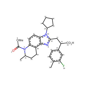 COC(=O)N1c2ccc3c(nc(CC(C(=O)O)c4ccc(C)c(F)c4)n3C3CCCC3)c2CCC1C